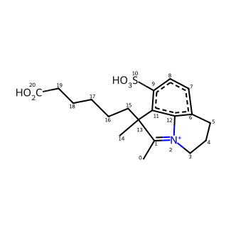 CC1=[N+]2CCCc3ccc(S(=O)(=O)O)c(c32)C1(C)CCCCCC(=O)O